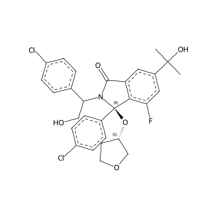 CC(C)(O)c1cc(F)c2c(c1)C(=O)N(C(CO)c1ccc(Cl)cc1)[C@@]2(O[C@H]1CCOC1)c1ccc(Cl)cc1